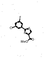 COC(=O)c1csc(-c2cc(F)cc(Cl)c2)n1